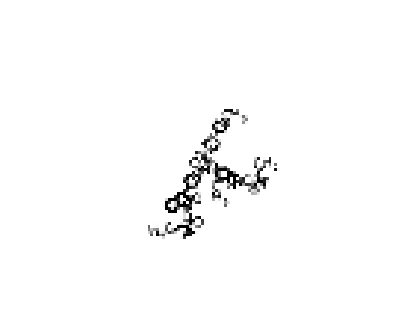 C=CCC1(C(=O)OCn2cc3cc(C[C@H](NC(=O)N4CCC(c5cc6ccccc6n(COC(=O)C6(CC=C)CC6)c5=O)CC4)C(=O)N4CCN(C5CCN(C)CC5)CC4)cc(C)c3n2)CC1